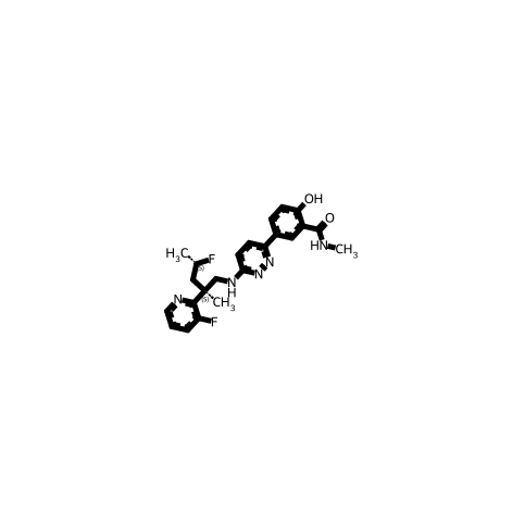 CNC(=O)c1cc(-c2ccc(NC[C@](C)(C[C@H](C)F)c3ncccc3F)nn2)ccc1O